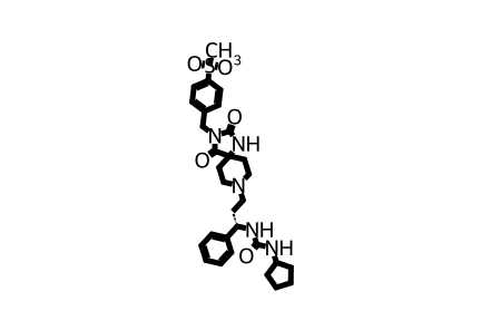 CS(=O)(=O)c1ccc(CN2C(=O)NC3(CCN(CC[C@H](NC(=O)NC4CCCC4)c4ccccc4)CC3)C2=O)cc1